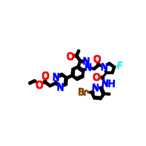 CCOC(=O)Cc1ncc(-c2ccc3c(c2)c(C(C)=O)nn3CC(=O)N2C[C@H](F)C[C@H]2C(=O)Nc2nc(Br)ccc2C)cn1